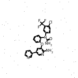 NC(=O)N(c1ccc(Cl)c(C(F)(F)F)c1)c1ccccc1Oc1cc(-c2cccnc2)cnc1N